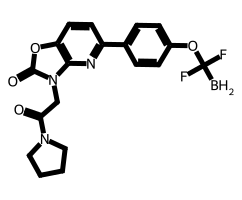 BC(F)(F)Oc1ccc(-c2ccc3oc(=O)n(CC(=O)N4CCCC4)c3n2)cc1